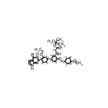 CCOc1cc(-c2ccc(OCc3ccc(OC)cc3)c(NCC(=O)OC(C)(C)C)c2)ccc1-c1nc2[nH]nnc2c(=O)[nH]1